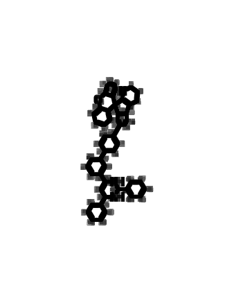 C1=CC2=C(NC1)C1(c3ccccc3Oc3ccccc31)c1cc(-c3ccc(-c4cccc(C5=CC(c6ccccc6)NC(c6ccccc6)N5)c4)cc3)ccc12